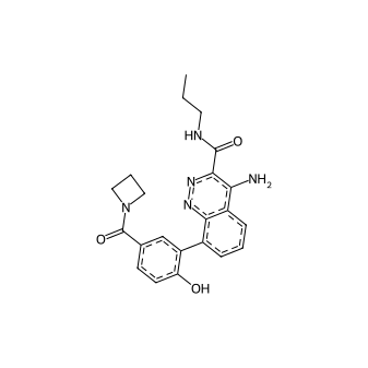 CCCNC(=O)c1nnc2c(-c3cc(C(=O)N4CCC4)ccc3O)cccc2c1N